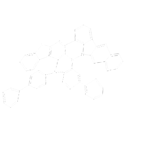 c1ccc(-c2ccc(N3c4ccc(-c5ccccc5)cc4B4c5c(cc6oc7ccccc7c6c53)-c3cccc5c6cc7ccccc7cc6n4c35)cc2)cc1